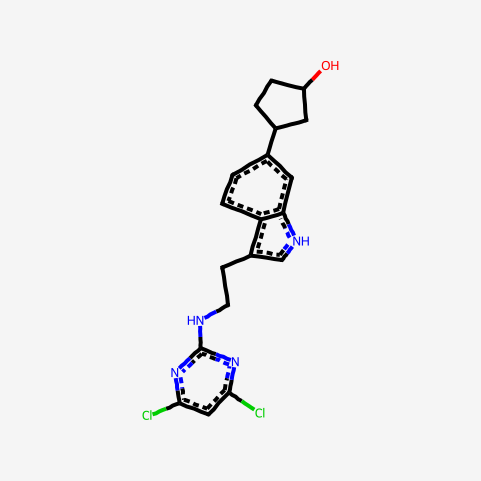 OC1CCC(c2ccc3c(CCNc4nc(Cl)cc(Cl)n4)c[nH]c3c2)C1